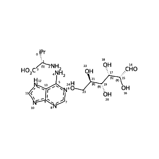 CC(C)[C@H](N)C(=O)O.Nc1ncnc2nc[nH]c12.O=C[C@H](O)[C@@H](O)[C@H](O)[C@H](O)CO